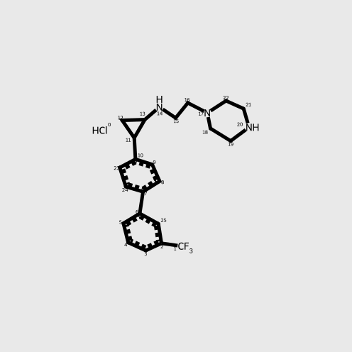 Cl.FC(F)(F)c1cccc(-c2ccc(C3CC3NCCN3CCNCC3)cc2)c1